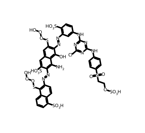 Nc1c(/N=N/c2ccc3c(S(=O)(=O)O)cccc3c2SOOO)c(S(=O)(=O)O)cc2cc(SOOO)c(/N=N/c3cc(Nc4nc(Cl)nc(Nc5ccc(S(=O)(=O)CCOS(=O)(=O)O)cc5)n4)ccc3S(=O)(=O)O)c(O)c12